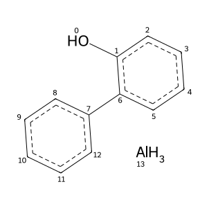 Oc1ccccc1-c1ccccc1.[AlH3]